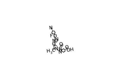 C[C@H]1C[C@@H](Oc2ccnc(COc3ccc(C#N)cc3F)n2)CCN1Cc1nc2ccc(C(=O)O)cc2n1C[C@@H]1CCO1